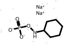 O=P([O-])([O-])ONC1CCCCC1.[Na+].[Na+]